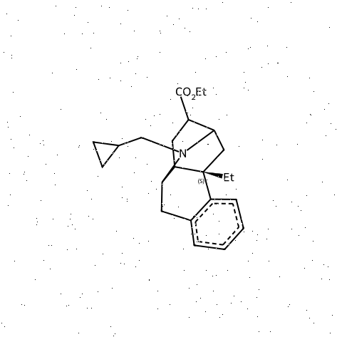 CCOC(=O)C1CC2C3Cc4ccccc4[C@@]2(CC)CC1N3CC1CC1